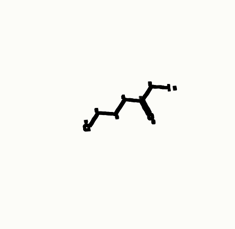 O=C(CI)CCCCl